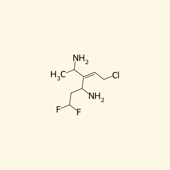 CC(N)/C(=C/CCl)C(N)CC(F)F